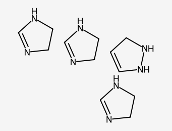 C1=CNNC1.C1=NCCN1.C1=NCCN1.C1=NCCN1